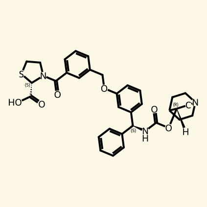 O=C(N[C@@H](c1ccccc1)c1cccc(OCc2cccc(C(=O)N3CCS[C@H]3C(=O)O)c2)c1)O[C@H]1CN2CCC1CC2